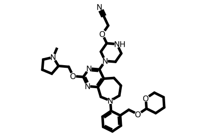 CN1CCCC1COc1nc2c(c(N3CCNC(OCC#N)C3)n1)CCCN(c1ccccc1COC1CCCCO1)C2